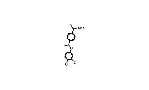 COC(=O)c1ccc(C(C)Oc2ccc(Cl)c(Cl)c2)cc1